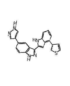 c1cc(-c2ccsc2)c2cc(-c3n[nH]c4ccc(-c5cn[nH]c5)cc34)[nH]c2c1